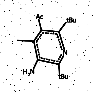 CC(=O)c1c(C(C)(C)C)nc(C(C)(C)C)c(N)c1C